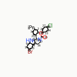 CC(C)c1ccc(C2c3[nH]c4ccc(Br)cc4c3CCN2C(=O)Oc2ccc(Cl)cc2)cc1